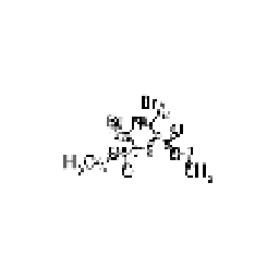 CCOC(=O)c1cc(C(=O)OCC)c(CBr)nc1CBr